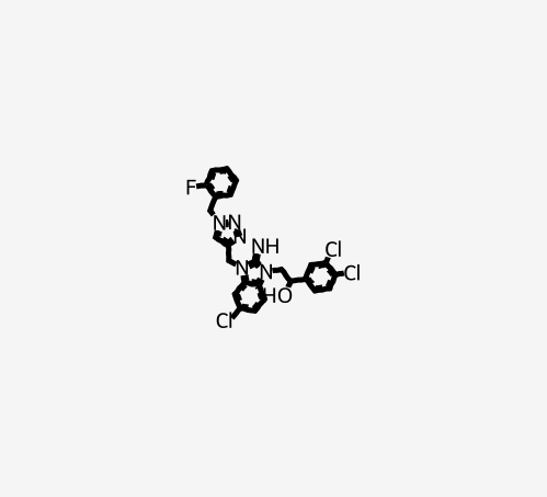 N=c1n(Cc2cn(Cc3ccccc3F)nn2)c2cc(Cl)ccc2n1CC(O)c1ccc(Cl)c(Cl)c1